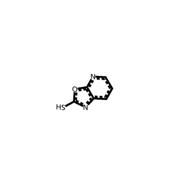 Sc1nc2cccnc2o1